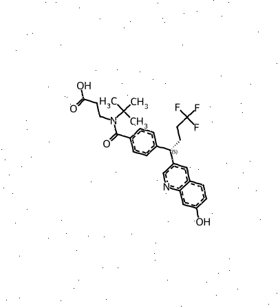 CC(C)(C)N(CCC(=O)O)C(=O)c1ccc([C@H](CCC(F)(F)F)c2cnc3cc(O)ccc3c2)cc1